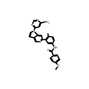 COc1ccc(C(=O)Nc2ccc(C)c(-c3cc4c(ccn4-c4cc(N)ncn4)cn3)c2)cc1